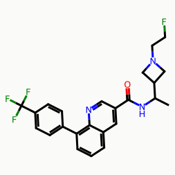 CC(NC(=O)c1cnc2c(-c3ccc(C(F)(F)F)cc3)cccc2c1)C1CN(CCF)C1